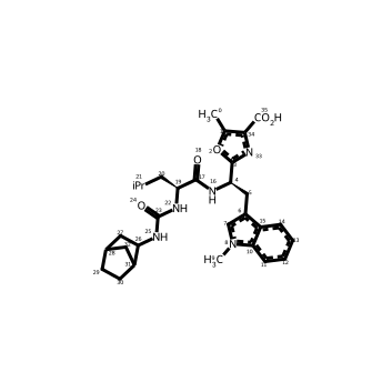 Cc1oc([C@@H](Cc2cn(C)c3ccccc23)NC(=O)[C@H](CC(C)C)NC(=O)NC2CC3CCC2C3)nc1C(=O)O